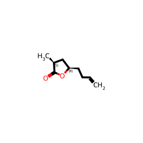 C=CCC[C@@H]1C[C@H](C)C(=O)O1